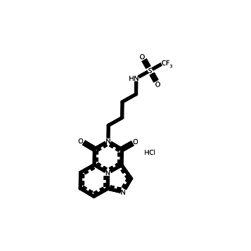 Cl.O=c1c2cccc3ncc(c(=O)n1CCCCNS(=O)(=O)C(F)(F)F)n32